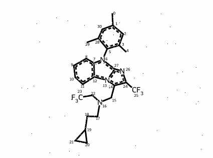 Cc1cc(C)c(-n2c3ccccc3n3c(CN(CCC4CC4)CC(F)(F)F)c(C(F)(F)F)nc23)c(C)c1